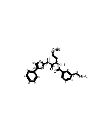 CSCCC(NC(=O)c1cccc(CN)c1)C(=O)Nc1nc(-c2ccccc2)cs1